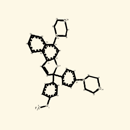 FC(F)(F)Oc1ccc(C2(c3ccc(N4CCOCC4)cc3)C=Cc3c(cc(N4CCOCC4)c4ccccc34)O2)cc1